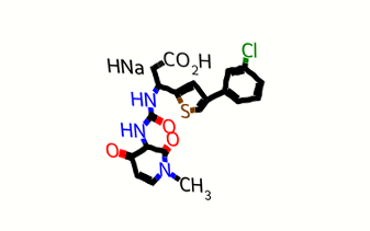 CN1C=CC(=O)C(NC(=O)NC(CC(=O)O)c2cc(-c3cccc(Cl)c3)cs2)C1=O.[NaH]